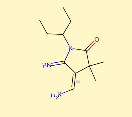 CCC(CC)N1C(=N)/C(=C\N)C(C)(C)C1=O